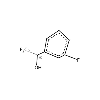 O[C@@H](c1cc[c]c(F)c1)C(F)(F)F